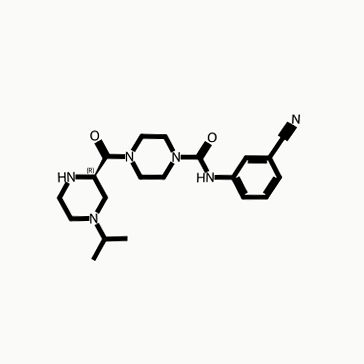 CC(C)N1CCN[C@@H](C(=O)N2CCN(C(=O)Nc3cccc(C#N)c3)CC2)C1